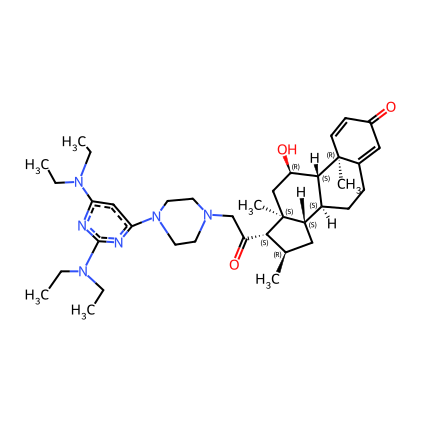 CCN(CC)c1cc(N2CCN(CC(=O)[C@H]3[C@H](C)C[C@H]4[C@@H]5CCC6=CC(=O)C=C[C@]6(C)[C@H]5[C@H](O)C[C@@]43C)CC2)nc(N(CC)CC)n1